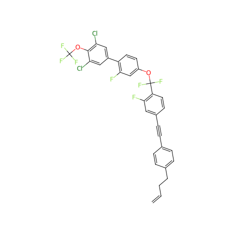 C=CCCc1ccc(C#Cc2ccc(C(F)(F)Oc3ccc(-c4cc(Cl)c(OC(F)(F)F)c(Cl)c4)c(F)c3)c(F)c2)cc1